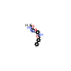 CC(=O)Nc1cc(Oc2ccc(NC(=O)Cc3ccc(-c4ccccc4)cc3)cc2)ncn1